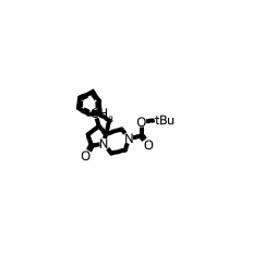 CC1CC(=O)N2CCN(C(=O)OC(C)(C)C)CC12Cc1ccccc1